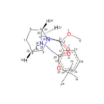 COC(=O)[C@@H]1[C@@H]2CC[C@@H](CN2Cc2ccccc2)CN1C(=O)OC(C)(C)C